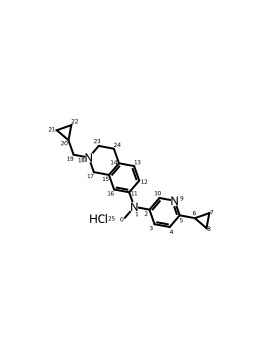 CN(c1ccc(C2CC2)nc1)c1ccc2c(c1)CN(CC1CC1)CC2.Cl